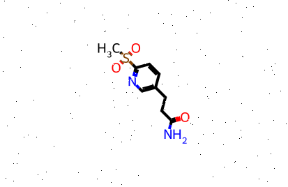 CS(=O)(=O)c1ccc(CCC(N)=O)cn1